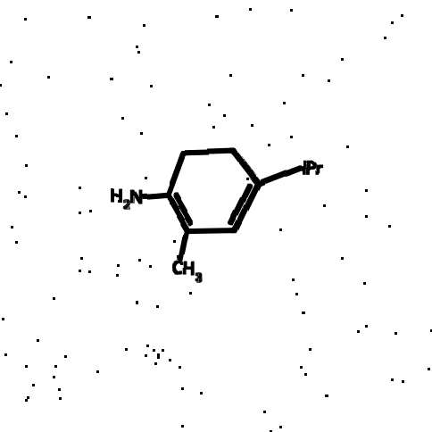 CC1=C(N)CCC(C(C)C)=C1